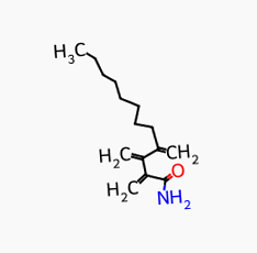 C=C(CCCCCCCC)C(=C)C(=C)C(N)=O